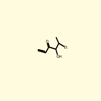 C=CC(=O)C(O)[C](C)CC